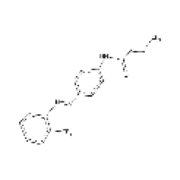 O=C(C=CC(F)(F)F)Nc1ccc(N=Nc2ccccc2C(F)(F)F)cc1